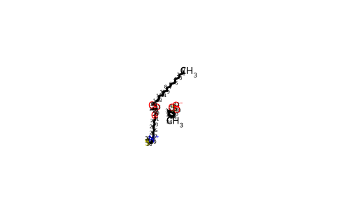 CCCCCCCCCCCCCCC[C@@H]1OC[C@@H](COCCCCCCC[n+]2ccsc2)O1.Cc1ccc(S(=O)(=O)[O-])cc1